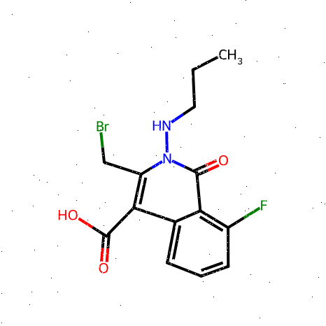 CCCNn1c(CBr)c(C(=O)O)c2cccc(F)c2c1=O